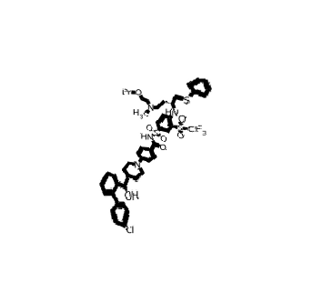 CC(C)OCCN(C)CC[C@H](CSc1ccccc1)Nc1ccc(S(=O)(=O)NC(=O)c2ccc(N3CCC([C@@H](O)c4ccccc4-c4ccc(Cl)cc4)CC3)cc2)cc1S(=O)(=O)C(F)(F)F